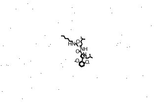 CCCCCCNC(=O)C[C@H](CCC(C)C)NC(=O)c1cc(-c2c(OC)cccc2OC)n(CC(C)C)n1